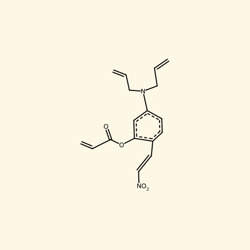 C=CCN(CC=C)c1ccc(C=C[N+](=O)[O-])c(OC(=O)C=C)c1